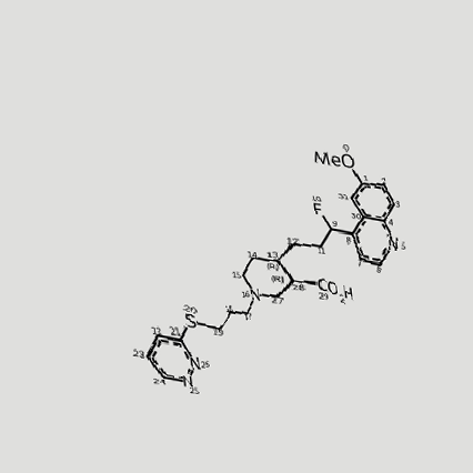 COc1ccc2nccc(C(F)CC[C@@H]3CCN(CCCSc4cccnn4)C[C@@H]3C(=O)O)c2c1